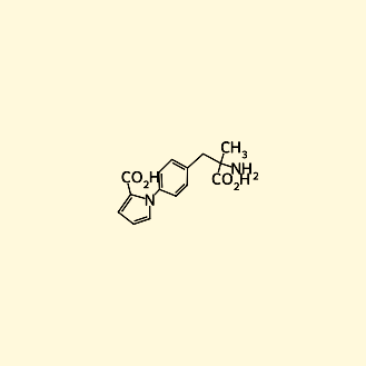 CC(N)(Cc1ccc(-n2cccc2C(=O)O)cc1)C(=O)O